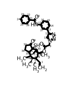 C=C[C@]1(C)CC(OC(=O)Cn2cc(-c3cccc(NC(=O)c4ccccc4)c3)nn2)C2C(C)CC[C@]3(CCC(=O)C23S)C(C)[C@@H]1C